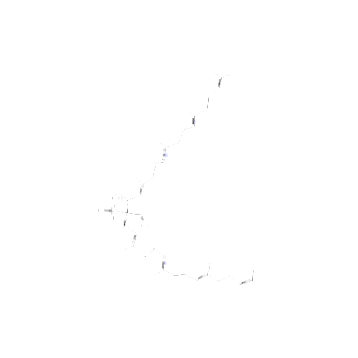 CC(C)=CCC/C(C)=C/CC/C(C)=C/CC/C(C)=C/CC(C=O)(C/C=C(\C)CC/C=C(\C)CC/C=C(\C)CCC=C(C)C)P(=O)(O)O